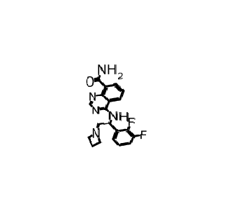 NC(=O)c1cccc2c(N[C@H](CN3CCC3)c3cccc(F)c3F)ncnc12